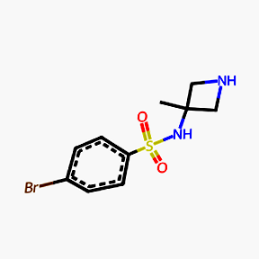 CC1(NS(=O)(=O)c2ccc(Br)cc2)CNC1